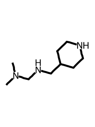 CN(C)CNCC1CCNCC1